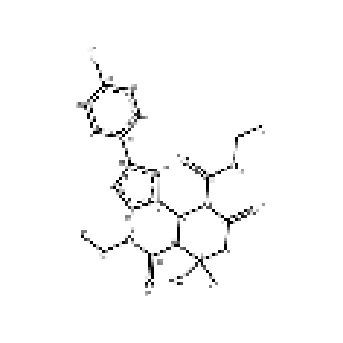 CCOC(=O)C1C(=O)CC(C)(O)C(C(=O)OCC)C1c1ncc(-c2ccc(Cl)cc2)s1